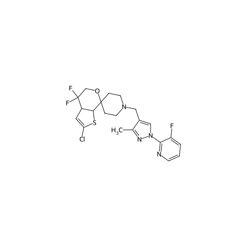 Cc1nn(-c2ncccc2F)cc1CN1CCC2(CC1)OCC(F)(F)C1C=C(Cl)SC12